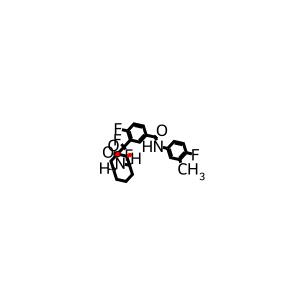 Cc1cc(NC(=O)c2ccc(F)c(C(F)(F)C(=O)N3[C@@H]4CCC[C@H]3CC(=O)C4)c2)ccc1F